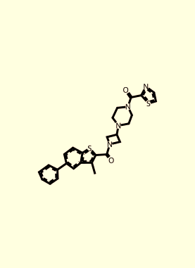 Cc1c(C(=O)N2CC(N3CCN(C(=O)c4nccs4)CC3)C2)sc2ccc(-c3ccccc3)cc12